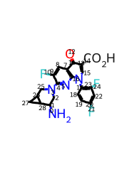 NC1CN(c2nc3c(cc2F)c(=O)c(C(=O)O)cn3-c2ccc(F)cc2F)CC2CC12